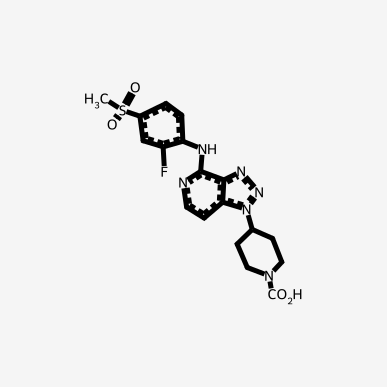 CS(=O)(=O)c1ccc(Nc2nccc3c2nnn3C2CCN(C(=O)O)CC2)c(F)c1